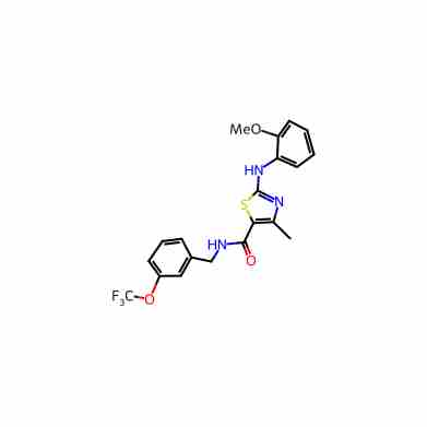 COc1ccccc1Nc1nc(C)c(C(=O)NCc2cccc(OC(F)(F)F)c2)s1